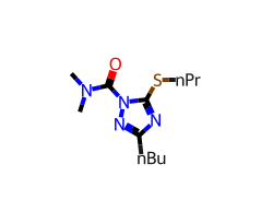 CCCCc1nc(SCCC)n(C(=O)N(C)C)n1